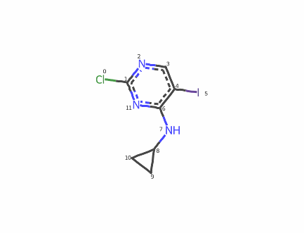 Clc1ncc(I)c(NC2CC2)n1